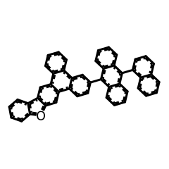 c1ccc2c(-c3c4ccccc4c(-c4ccc5c(c4)c4ccccc4c4cc6c(cc54)oc4ccccc46)c4ccccc34)cccc2c1